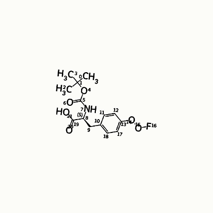 CC(C)(C)OC(=O)N[C@@H](Cc1ccc(OOF)cc1)C(=O)O